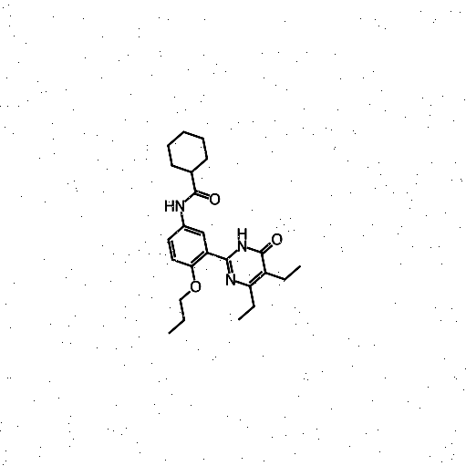 CCCOc1ccc(NC(=O)C2CCCCC2)cc1-c1nc(CC)c(CC)c(=O)[nH]1